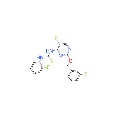 Fc1cccc(COc2ncc(F)c(NC(=S)Nc3ccccc3F)n2)c1